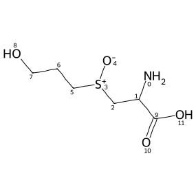 NC(C[S+]([O-])CCCO)C(=O)O